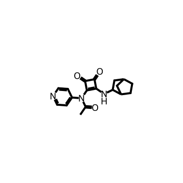 CC(=O)N(c1ccncc1)c1c(NC2CC3CCC2C3)c(=O)c1=O